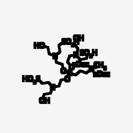 CCCCCCCCCC[N+](C)(CCCCCCCCCC)CCC[Si](OCCN(CCO)CCS(=O)(=O)O)(OCCN(CCO)CCS(=O)(=O)O)OCCN(CCO)CCS(=O)(=O)O